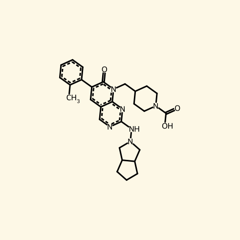 Cc1ccccc1-c1cc2cnc(NN3CC4CCCC4C3)nc2n(CC2CCN(C(=O)O)CC2)c1=O